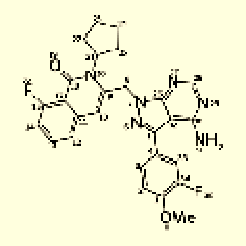 COc1ccc(-c2nn(Cc3cc4cccc(F)c4c(=O)n3C3CCCC3)c3ncnc(N)c23)cc1F